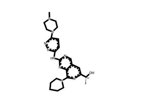 C[C@@H](O)c1cc2cnc(Nc3ccc(N4CCN(C)CC4)nn3)nc2c(N2CCCCC2)n1